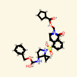 O=C(OCn1ccc2c(S(=O)(=O)N3CCC(NC(O)OCc4ccccc4)C34CC4)cccc2c1=O)C1CCCC1